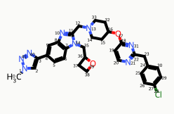 Cn1cc(-c2ccc3c(c2)nc(CN2CCC(Oc4ccnc(Cc5ccc(Cl)cc5)n4)CC2)n3CC2CCO2)nn1